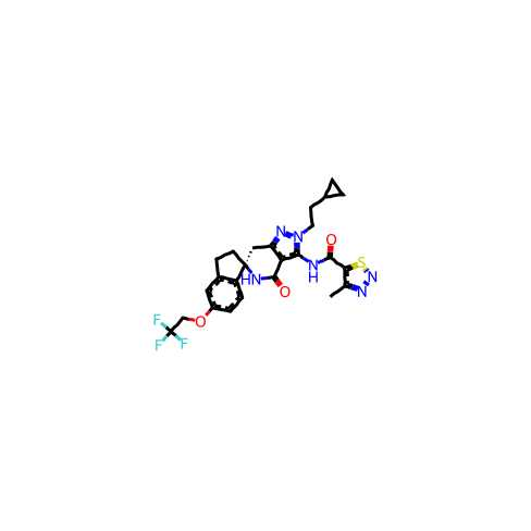 Cc1nnsc1C(=O)Nc1c2c(nn1CCC1CC1)C[C@]1(CCc3cc(OCC(F)(F)F)ccc31)NC2=O